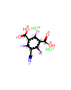 Cl.Cl.N#Cc1c(I)c(C(=O)O)c(I)c(C(=O)O)c1I